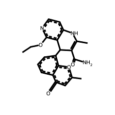 CCOc1nccc2c1C(c1cccc3c(=O)cc(C)oc13)C(C(N)=O)=C(C)N2